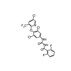 O=C(NC(=O)c1c(F)cccc1F)Nc1cc(Cl)c(Oc2ncc(Cl)cc2C(F)(F)F)c(Cl)c1